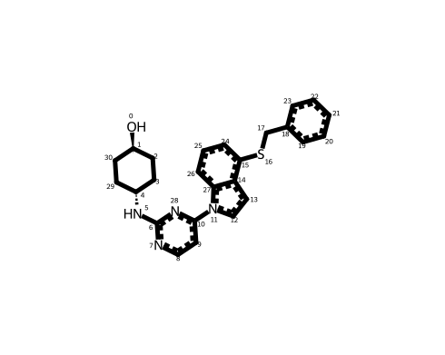 O[C@H]1CC[C@H](Nc2nccc(-n3ccc4c(SCc5ccccc5)cccc43)n2)CC1